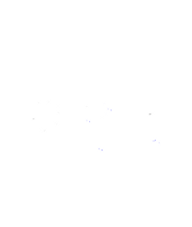 CC(C)c1c(Sc2ccccc2)nc(CN)n1Cc1ccncc1